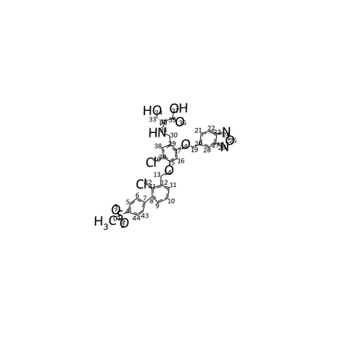 CS(=O)(=O)c1ccc(-c2cccc(COc3cc(OCc4ccc5nonc5c4)c(CN[C@H](CO)C(=O)O)cc3Cl)c2Cl)cc1